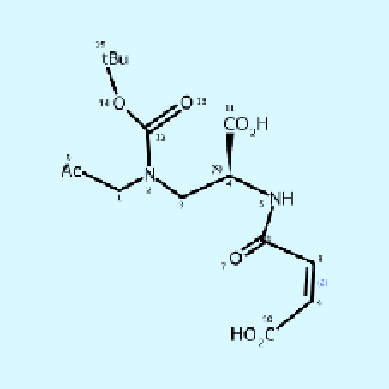 CC(=O)CN(C[C@H](NC(=O)/C=C\C(=O)O)C(=O)O)C(=O)OC(C)(C)C